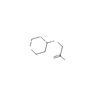 C[C@@H](OC1CCOCC1)C([O])=O